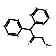 CNCC(=O)C(c1ccccc1)c1ccccc1